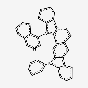 c1ccc(-n2c3ccccc3c3cc4ccc5c6ccccc6n(-c6cncc7ccccc67)c5c4cc32)cc1